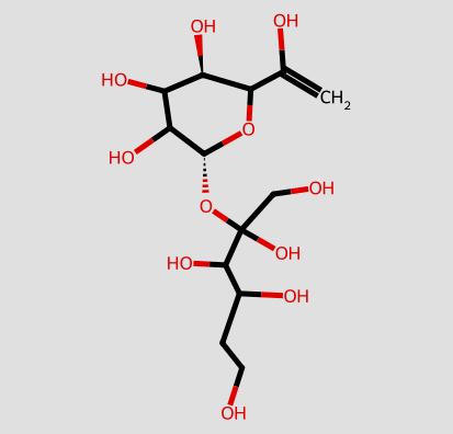 C=C(O)C1O[C@H](OC(O)(CO)C(O)C(O)CCO)C(O)C(O)[C@H]1O